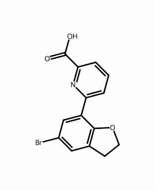 O=C(O)c1cccc(-c2cc(Br)cc3c2OCC3)n1